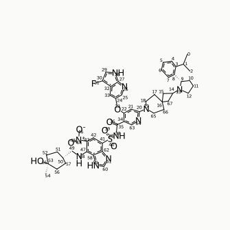 CC(C)c1ccccc1[C@@H]1CCCN1C1CC2(CCN(c3cc(Oc4cnc5[nH]cc(F)c5c4)c(C(=O)NS(=O)(=O)c4cc([N+](=O)[O-])c(NC[C@H]5CC[C@](C)(O)CC5)c5[nH]cnc45)cn3)CC2)C1